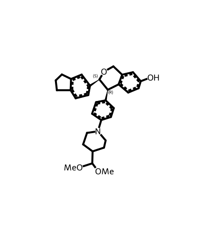 COC(OC)C1CCN(c2ccc([C@@H]3c4ccc(O)cc4CO[C@@H]3c3ccc4c(c3)CCC4)cc2)CC1